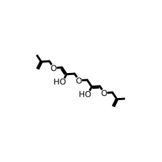 C=C(C)CO/C=C(\O)COC/C(O)=C/OCC(=C)C